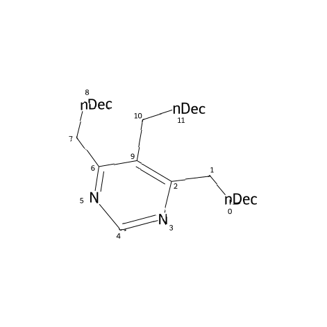 CCCCCCCCCCCc1n[c]nc(CCCCCCCCCCC)c1CCCCCCCCCCC